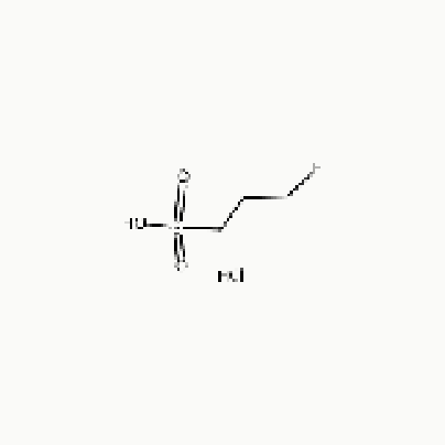 Cl.O=S(=O)(O)CCCF